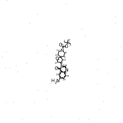 CC(C)(C)OC(=O)N1CCC2(CC1)CC(n1cnc3ccc(N)cc3c1=O)CO2